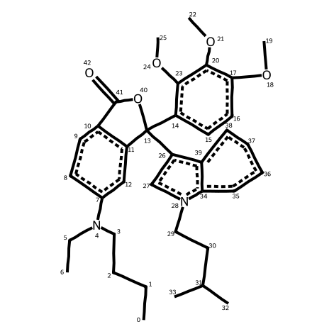 CCCCN(CC)c1ccc2c(c1)C(c1ccc(OC)c(OC)c1OC)(c1cn(CCC(C)C)c3ccccc13)OC2=O